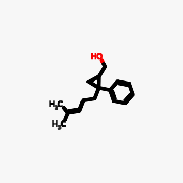 CC(C)=CCCC1(c2ccccc2)CC1CO